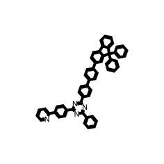 c1ccc(-c2nc(-c3ccc(-c4ccc(-c5ccc6c(c5)C(c5ccccc5)(c5ccccc5)c5ccccc5-6)cc4)cc3)nc(-c3ccc(-c4ccccn4)cc3)n2)cc1